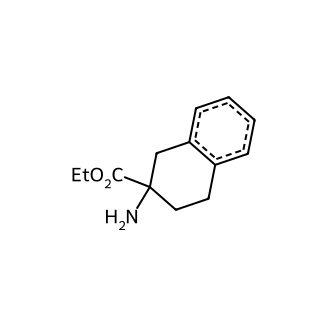 CCOC(=O)C1(N)CCc2ccccc2C1